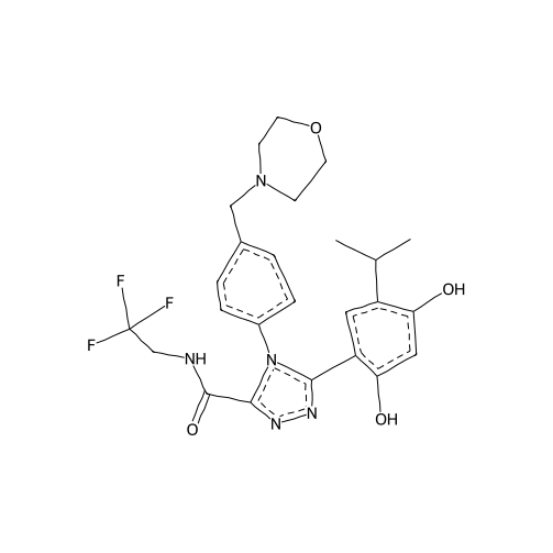 CC(C)c1cc(-c2nnc(C(=O)NCC(F)(F)F)n2-c2ccc(CN3CCOCC3)cc2)c(O)cc1O